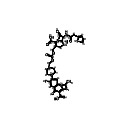 CC1Sc2c(C(=O)O)c(=O)c3cc(F)c(N4CCN(COC(=O)OCC5=C(C(=O)O)N6C(=O)[C@@H](NC(=O)Cc7cccs7)[C@H]6SC5)CC4)cc3n21